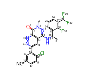 C[C@@H](Nc1nn(C)c(=O)c2nnc(-c3cc(C#N)ccc3Cl)cc12)c1cccc(C(F)F)c1F